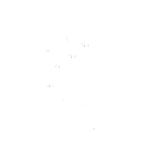 CC(NCC(O)COc1ccc(O)cc1)NC(=O)Nc1ccccc1